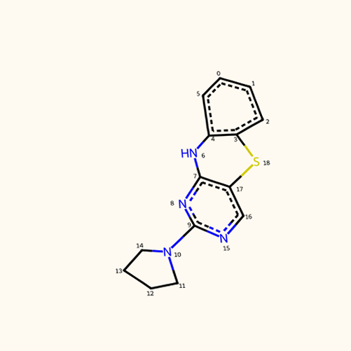 c1ccc2c(c1)Nc1nc(N3CCCC3)ncc1S2